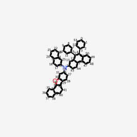 c1ccc(-c2c(-c3ccccc3)c3cc(N(c4ccc5ccccc5c4)c4ccc5c(c4)oc4c6ccccc6ccc54)ccc3c3ccccc23)cc1